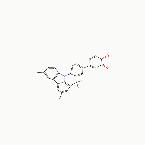 Cc1ccc2c(c1)c1cc(C)cc3c1n2-c1ccc(C2=CC(=O)C(=O)C=C2)cc1C3(C)C